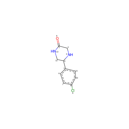 O=C1CNC(c2ccc(Cl)cc2)CN1